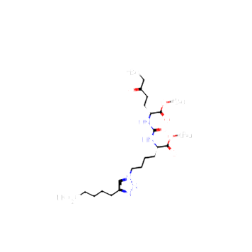 CC(C)(C)CC(=O)CC[C@H](NC(=O)N[C@H](CCCCn1cc(CCCCC(=O)O)nn1)C(=O)OC(C)(C)C)C(=O)OC(C)(C)C